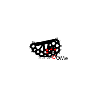 COC(=O)CCCC1(c2ccccc2)C23C4=C5c6c7c8c9c%10c%11cc%12cc%13c%14c%15c%16c%17c(c%18c%19c(c6C%1812)c8c1c(c%119)c%12c%14c1c%16%19)-c1c(ccc(c13)CC4C=CC5CC7C%10)C%17CC=%15C%13